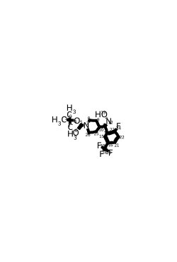 CC(C)(C)OC(=O)N1CCC(/C(=N\O)c2cc(C(F)(F)F)ccc2F)CC1